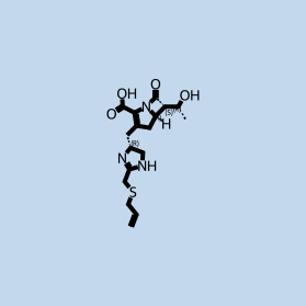 C=CCSCC1=N[C@H](CC2=C(C(=O)O)N3C(=O)[C@H]([C@@H](C)O)[C@H]3C2)CN1